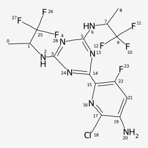 CC(Nc1nc(NC(C)C(F)(F)F)nc(-c2nc(Cl)c(N)cc2F)n1)C(F)(F)F